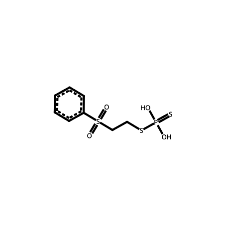 O=S(=O)(CCSP(O)(O)=S)c1ccccc1